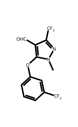 Cn1nc(C(F)(F)F)c(C=O)c1Oc1cccc(C(F)(F)F)c1